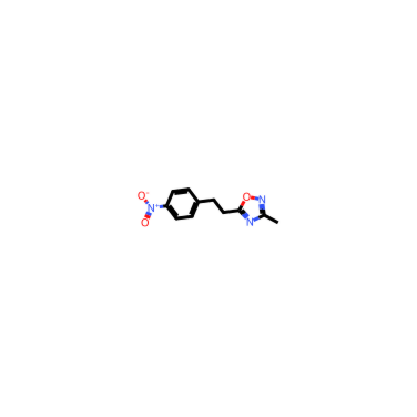 Cc1noc(CCc2ccc([N+](=O)[O-])cc2)n1